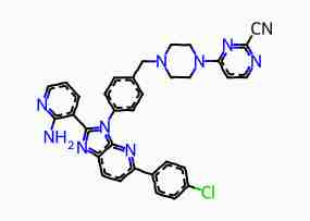 N#Cc1nccc(N2CCN(Cc3ccc(-n4c(-c5cccnc5N)nc5ccc(-c6ccc(Cl)cc6)nc54)cc3)CC2)n1